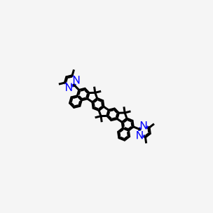 Cc1cc(C)nc(-c2cc3c(c4ccccc24)-c2cc4c(cc2C3(C)C)-c2cc3c(cc2C4(C)C)-c2c(cc(-c4nc(C)cc(C)n4)c4ccccc24)C3(C)C)n1